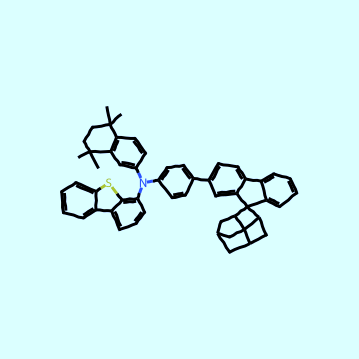 CC1(C)CCC(C)(C)c2cc(N(c3ccc(-c4ccc5c(c4)C4(c6ccccc6-5)C5CC6CC7CC4C75C6)cc3)c3cccc4c3sc3ccccc34)ccc21